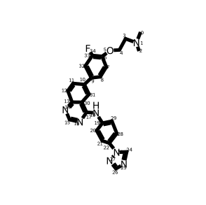 CN(C)CCOc1ccc(-c2ccc3ncnc(Nc4ccc(-n5cncn5)cc4)c3c2)cc1F